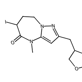 CN1C(=O)C(I)CCn2nc(CC3CCOC3)cc21